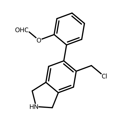 O=COc1ccccc1-c1cc2c(cc1CCl)CNC2